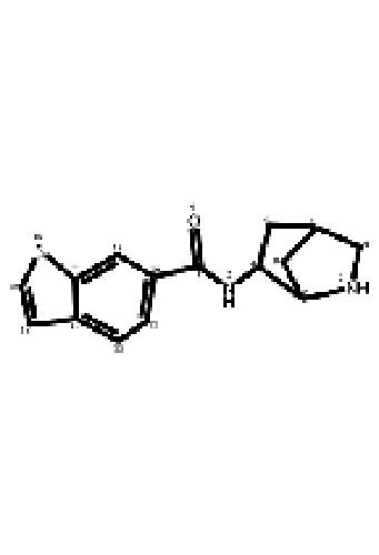 O=C(NC1CC2CNC1C2)c1ccc2ccsc2c1